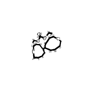 C1CCCCC(C2CCCCCCCC2)CCC1.CCOC(=O)OCC